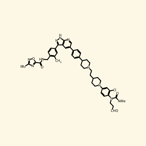 CNC(=O)N(CCC=O)c1ccc(N2CCC(CCN3CCC(c4ccc(-c5cnc6[nH]nc(-c7ccc(CNC(=O)c8nc(C(C)(C)C)no8)c(C)c7)c6c5)cc4)CC3)CC2)cc1Cl